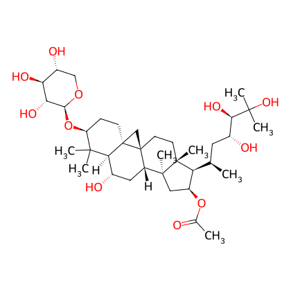 CC(=O)O[C@H]1C[C@@]2(C)[C@@H]3C[C@H](O)[C@H]4C(C)(C)[C@@H](O[C@@H]5OC[C@@H](O)[C@H](O)[C@H]5O)CC[C@@]45C[C@@]35CC[C@]2(C)[C@H]1[C@H](C)C[C@@H](O)[C@@H](O)C(C)(C)O